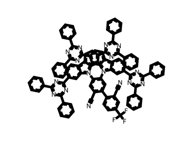 N#Cc1cc(C(F)(F)F)ccc1-c1cc(-n2c3cc(-c4nc(-c5ccccc5)nc(-c5ccccc5)n4)ccc3c3ccc(-c4nc(-c5ccccc5)nc(-c5ccccc5)n4)cc32)c(-n2c3cc(-c4nc(-c5ccccc5)nc(-c5ccccc5)n4)ccc3c3ccc(-c4nc(-c5ccccc5)nc(-c5ccccc5)n4)cc32)cc1C#N